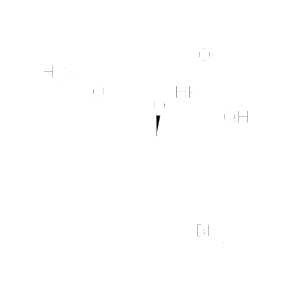 B[C@@H]1CC[C@H](COC)[C@@H](O[PH](=O)O)C1